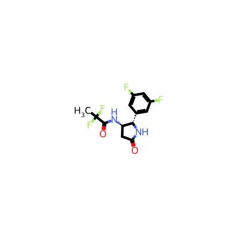 CC(F)(F)C(=O)N[C@@H]1CC(=O)N[C@H]1c1cc(F)cc(F)c1